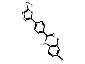 O=C(Nc1ccc(F)cc1F)c1ccc(-c2nnc(C(F)(F)F)s2)cc1